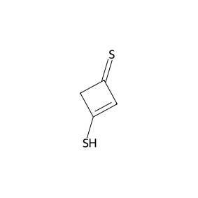 S=C1C=C(S)C1